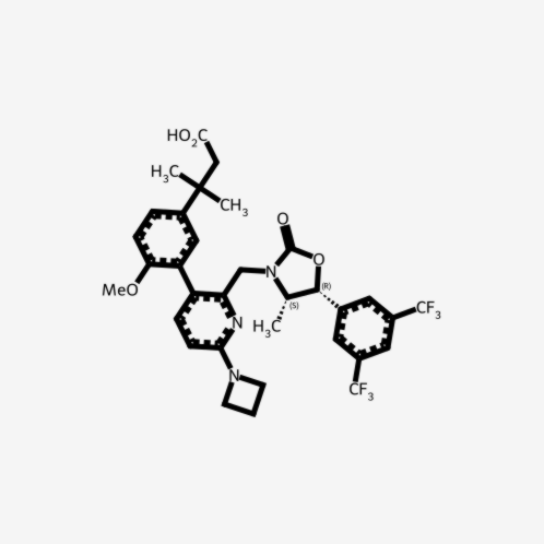 COc1ccc(C(C)(C)CC(=O)O)cc1-c1ccc(N2CCC2)nc1CN1C(=O)O[C@H](c2cc(C(F)(F)F)cc(C(F)(F)F)c2)[C@@H]1C